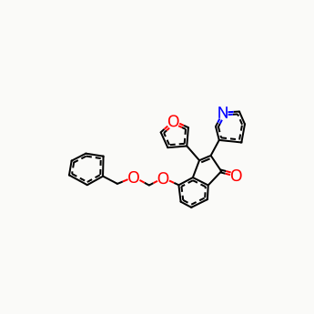 O=C1C(c2cccnc2)=C(c2ccoc2)c2c(OCOCc3ccccc3)cccc21